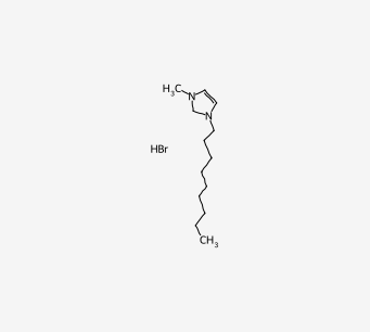 Br.CCCCCCCCCN1C=CN(C)C1